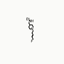 CCNCC1CCN(CC/C=C/CF)CC1